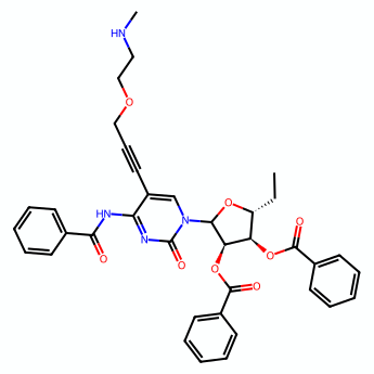 CC[C@H]1OC(n2cc(C#CCOCCNC)c(NC(=O)c3ccccc3)nc2=O)[C@H](OC(=O)c2ccccc2)[C@@H]1OC(=O)c1ccccc1